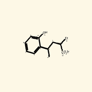 CCC(CC(C)c1ccccc1O)C(=O)O